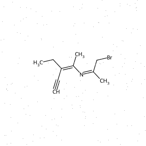 C#C/C(CC)=C(C)\N=C(\C)CBr